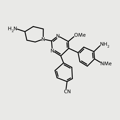 CNc1ccc(-c2c(OC)nc(N3CCC(N)CC3)nc2-c2ccc(C#N)cc2)cc1N